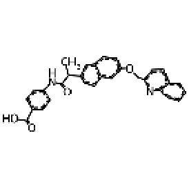 CC(C(=O)Nc1ccc(C(=O)O)cc1)c1ccc2cc(OCc3ccc4ccccc4n3)ccc2c1